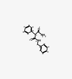 NC(=O)C(C(=O)NCc1ccccc1)c1ccccc1